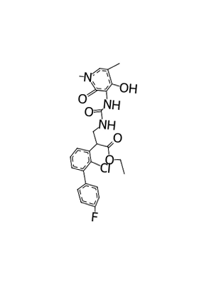 CCOC(=O)C(CNC(=O)Nc1c(O)c(C)cn(C)c1=O)c1cccc(-c2ccc(F)cc2)c1Cl